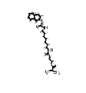 C=C(C)C(=O)OCCOC(=O)NCCCCCCCNC(=O)Oc1ccc2ccccc2c1